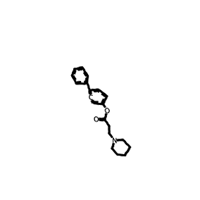 O=C(CCN1CCCCC1)Oc1ccc(-c2ccccc2)cc1